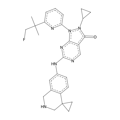 CC(C)(CF)c1cccc(-n2c3nc(Nc4ccc5c(c4)CNCC54CC4)ncc3c(=O)n2C2CC2)n1